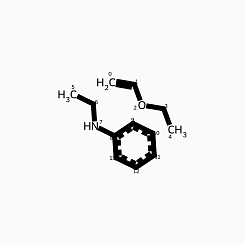 C=COCC.CCNc1ccccc1